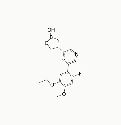 CCOc1cc(-c2cncc([C@@H]3COB(O)C3)c2)c(F)cc1OC